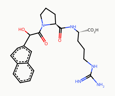 N=C(N)NCCC[C@H](NC(=O)[C@@H]1CCCN1C(=O)C(O)c1ccc2ccccc2c1)C(=O)O